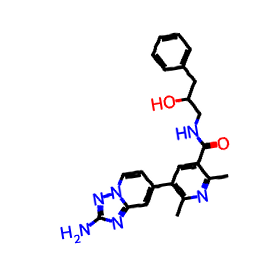 Cc1nc(C)c(-c2ccn3nc(N)nc3c2)cc1C(=O)NCC(O)Cc1ccccc1